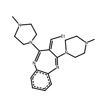 CCC=C1C(N2CCN(C)CC2)=Nc2ccccc2N=C1N1CCN(C)CC1